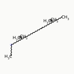 CCCCCCCC/C=C\CCCCCCCC(CCCCCCCCCCCCCCCCC=CCCCCCCCC(CCCCCCCCC)N(C)C)N(C)C